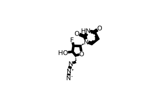 [N-]=[N+]=NC[C@H]1O[C@@H](n2ccc(=O)[nH]c2=O)C(F)C1O